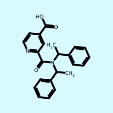 CC(c1ccccc1)N(C(=O)c1cc(C(=O)O)ccn1)C(C)c1ccccc1